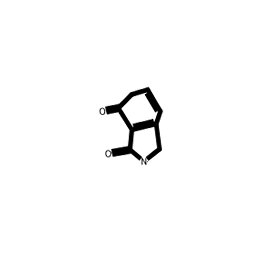 O=C1CC=CC2=C1C(=O)[N]C2